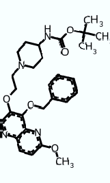 COc1ccc2ncc(OCCN3CCC(NC(=O)OC(C)(C)C)CC3)c(OCc3ccccc3)c2n1